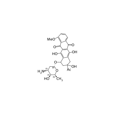 COc1cccc2c1C(=O)c1c(O)c3c(c(O)c1C2=O)CC(O)(C(C)=O)CC3O[C@H]1C[C@H](N)[C@H](O)[C@H](C)O1